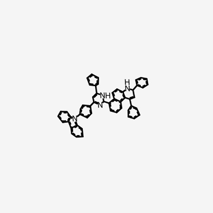 C1=C(c2ccccc2)NC(c2cccc3c4c(ccc23)NC(c2ccccc2)C=C4c2ccccc2)N=C1c1ccc(-n2c3ccccc3c3ccccc32)cc1